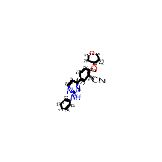 N#Cc1cc(-c2ccnc(NC3=C[CH]CC=C3)n2)ccc1OC1CCOCC1